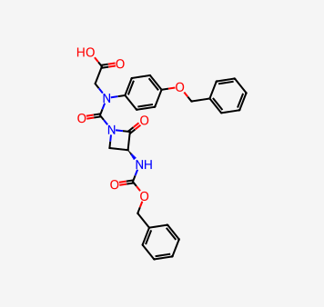 O=C(O)CN(C(=O)N1C[C@H](NC(=O)OCc2ccccc2)C1=O)c1ccc(OCc2ccccc2)cc1